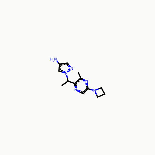 Cc1nc(N2CCC2)cnc1C(C)n1cc(N)cn1